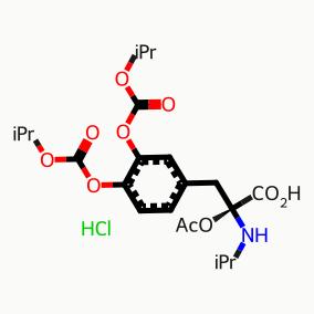 CC(=O)O[C@](Cc1ccc(OC(=O)OC(C)C)c(OC(=O)OC(C)C)c1)(NC(C)C)C(=O)O.Cl